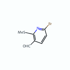 CSc1nc(Br)ccc1C=O